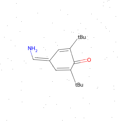 CC(C)(C)C1=CC(=CN)C=C(C(C)(C)C)C1=O